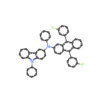 Fc1cccc(-c2c3ccccc3c(-c3cccc(F)c3)c3cc(N(c4ccccc4)c4ccc5c(c4)c4ccccc4n5-c4ccccc4)ccc23)c1